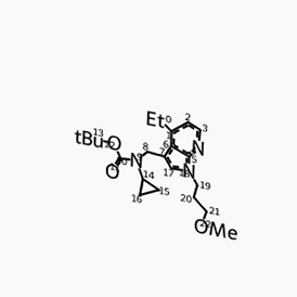 CCc1ccnc2c1c(CN(C(=O)OC(C)(C)C)C1CC1)cn2CCCOC